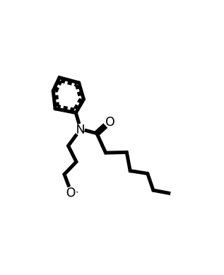 CCCCCCC(=O)N(CCC[O])c1ccccc1